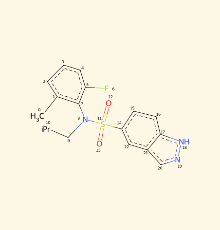 Cc1cccc(F)c1N(CC(C)C)S(=O)(=O)c1ccc2[nH]ncc2c1